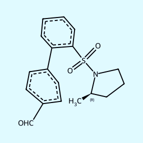 C[C@@H]1CCCN1S(=O)(=O)c1ccccc1-c1ccc(C=O)cc1